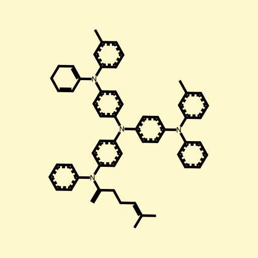 C=C(CCC=C(C)C)N(c1ccccc1)c1ccc(N(c2ccc(N(C3=CCCC=C3)c3cccc(C)c3)cc2)c2ccc(N(c3ccccc3)c3cccc(C)c3)cc2)cc1